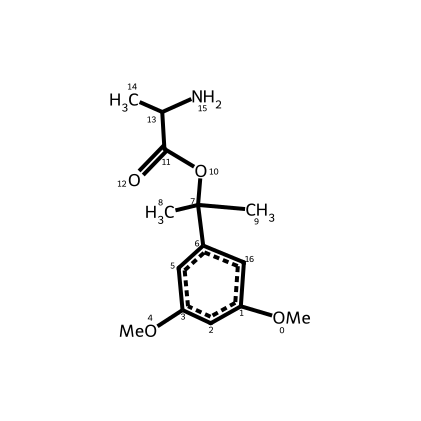 COc1cc(OC)cc(C(C)(C)OC(=O)C(C)N)c1